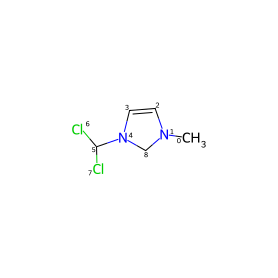 CN1C=CN(C(Cl)Cl)C1